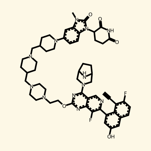 C#Cc1c(F)ccc2cc(O)cc(-c3ncc4c(N5CC6CCC(C5)N6)nc(OCCN5CCN(CC6CCN(CC7CCN(c8ccc9c(c8)n(C)c(=O)n9C8CCC(=O)NC8=O)CC7)CC6)CC5)nc4c3F)c12